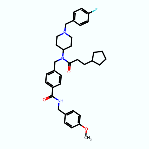 COc1ccc(CNC(=O)c2ccc(CN(C(=O)CCC3CCCC3)C3CCN(Cc4ccc(F)cc4)CC3)cc2)cc1